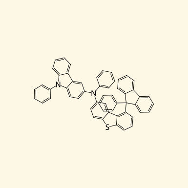 c1ccc(N(c2ccc3sc4cccc(C5(c6ccccc6)c6ccccc6-c6ccccc65)c4c3c2)c2ccc3c(c2)c2ccccc2n3-c2ccccc2)cc1